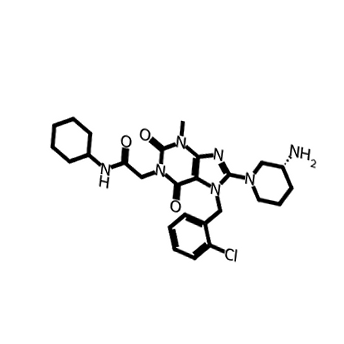 Cn1c(=O)n(CC(=O)NC2CCCCC2)c(=O)c2c1nc(N1CCC[C@@H](N)C1)n2Cc1ccccc1Cl